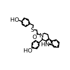 O=C(CSCc1ccc(O)cc1)N1CCc2c([nH]c3ccccc23)C1c1ccc(O)cc1